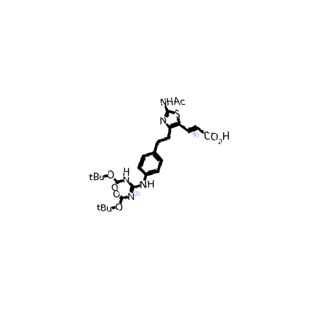 CC(=O)Nc1nc(CCc2ccc(N/C(=N/C(=O)OC(C)(C)C)NC(=O)OC(C)(C)C)cc2)c(/C=C/C(=O)O)s1